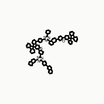 c1ccc(-c2nc(-c3ccc(-c4cccc(C5(c6ccc7sc8ccc(-c9nc(-c%10ccc(-c%11ccc%12ccccc%12c%11)cc%10)nc(-c%10ccc%11ccccc%11c%10)n9)cc8c7c6)c6ccccc6-c6ccccc65)c4)cc3)nc(-c3cccc4cc(-c5ccc6c(c5)oc5cc(C7(c8ccccc8)c8ccccc8-c8ccccc87)ccc56)ccc34)n2)cc1